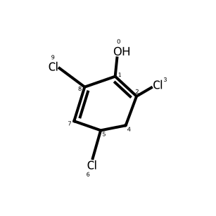 OC1=C(Cl)CC(Cl)C=C1Cl